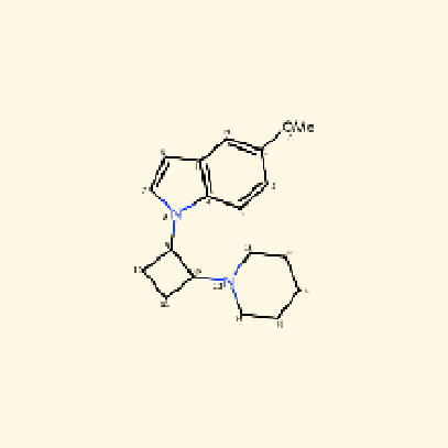 COc1ccc2c(ccn2C2CCC2N2CCCCC2)c1